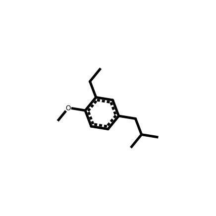 CCc1cc(CC(C)C)ccc1OC